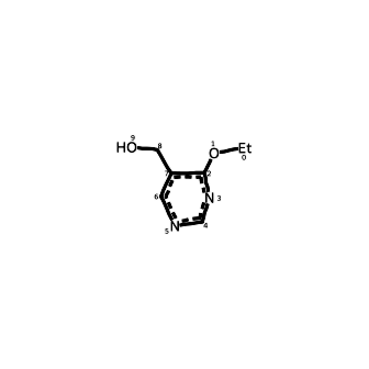 CCOc1ncncc1CO